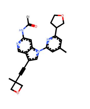 CCC(=O)Nc1cc2c(cn1)c(C#CC1(C)COC1)cn2-c1cc(C)cc(C2CCOC2)n1